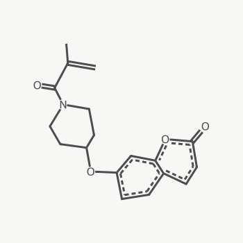 C=C(C)C(=O)N1CCC(Oc2ccc3ccc(=O)oc3c2)CC1